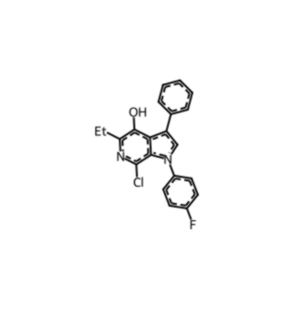 [CH2]Cc1nc(Cl)c2c(c(-c3ccccc3)cn2-c2ccc(F)cc2)c1O